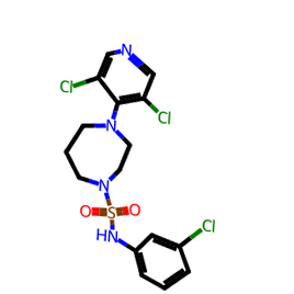 O=S(=O)(Nc1cccc(Cl)c1)N1CCCN(c2c(Cl)cncc2Cl)CC1